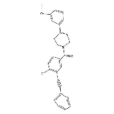 COc1cccc(N2CCN(C(=O)c3ccc(Cl)c(C#Cc4ccccn4)c3)CC2)c1